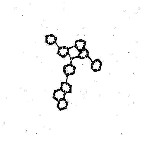 c1ccc(-c2cccc(N(c3ccc(-c4ccc5c(ccc6ccccc65)c4)cc3)c3ccc(-c4ccccc4)cc3-c3ccccc3)c2)cc1